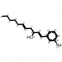 CCCCCC=CCC(O)C=Cc1ccc[c]([Na])c1